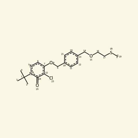 CC(C)(C)n1ncc(OCc2ccc(COCCSF)cc2)c(Cl)c1=O